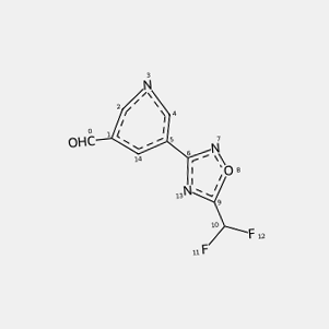 O=Cc1cncc(-c2noc(C(F)F)n2)c1